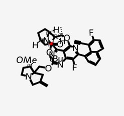 C#Cc1c(F)ccc2cccc(-c3nc4c5c(nc(OCC67CC(=C)CN6CC[C@@H]7OC)nc5c3F)N3C[C@H]5CC[C@@H]([C@H]3[C@H](C)O4)N5C(=O)OC(C)(C)C)c12